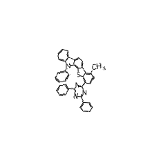 Cc1ccc(-c2nc(-c3ccccc3)nc(-c3ccccc3)n2)c2sc3c(ccc4c5ccccc5n(-c5ccccc5)c43)c12